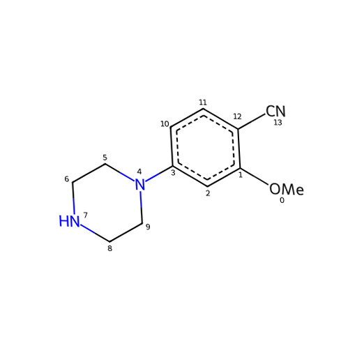 COc1cc(N2CCNCC2)ccc1C#N